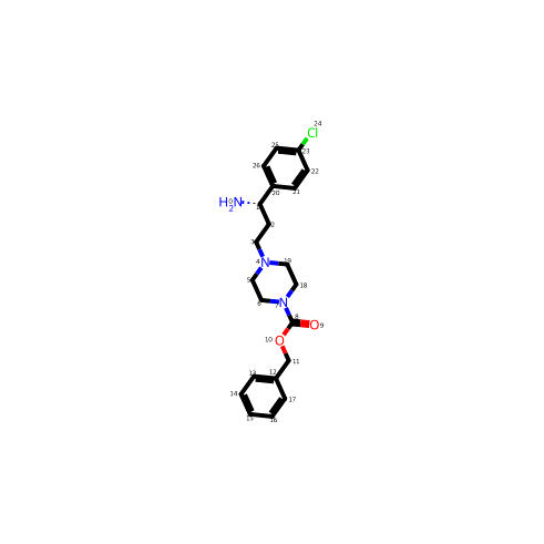 N[C@@H](CCN1CCN(C(=O)OCc2ccccc2)CC1)c1ccc(Cl)cc1